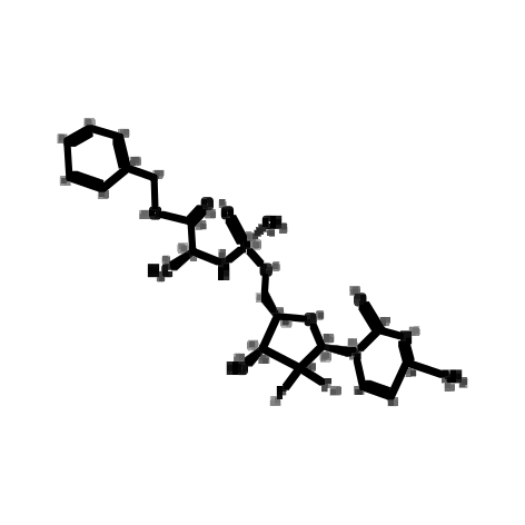 C[C@H](N[P@@](C)(=O)OC[C@H]1O[C@@H](n2ccc(N)nc2=O)C(F)(F)[C@H]1O)C(=O)OCc1ccccc1